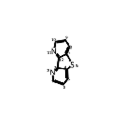 c1cnc2c(c1)sc1cccnc12